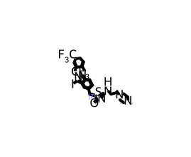 CN1CCN(CCNC2=NC(=O)/C(=C/c3ccc4c(c3)c(I)nn4CC3=CCC(C(F)(F)F)C=C3C(F)(F)F)S2)CC1